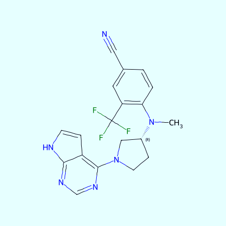 CN(c1ccc(C#N)cc1C(F)(F)F)[C@@H]1CCN(c2ncnc3[nH]ccc23)C1